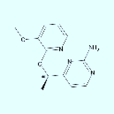 COc1cccnc1O[C@H](C)c1ccnc(N)n1